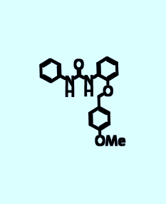 COc1ccc(COc2ccccc2NC(=O)Nc2ccccc2)cc1